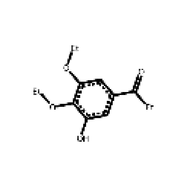 CCOc1cc(C(=O)CC)cc(O)c1OCC